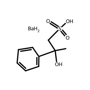 CC(O)(CS(=O)(=O)O)c1ccccc1.[BaH2]